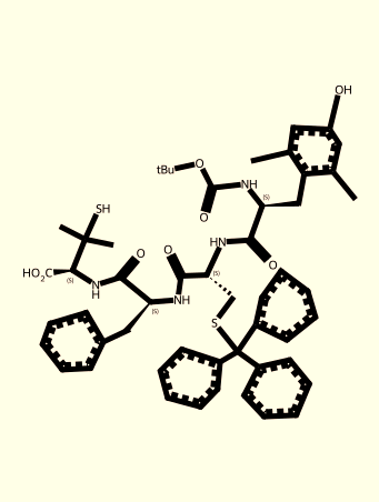 Cc1cc(O)cc(C)c1C[C@H](NC(=O)OC(C)(C)C)C(=O)N[C@H](CSC(c1ccccc1)(c1ccccc1)c1ccccc1)C(=O)N[C@@H](Cc1ccccc1)C(=O)N[C@@H](C(=O)O)C(C)(C)S